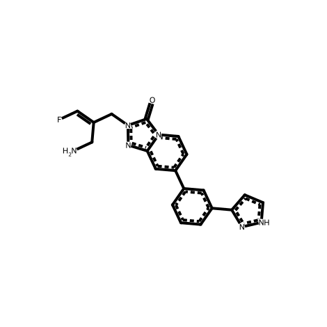 NC/C(=C\F)Cn1nc2cc(-c3cccc(-c4cc[nH]n4)c3)ccn2c1=O